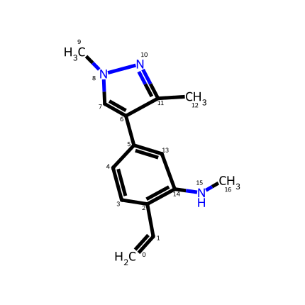 C=Cc1ccc(-c2cn(C)nc2C)cc1NC